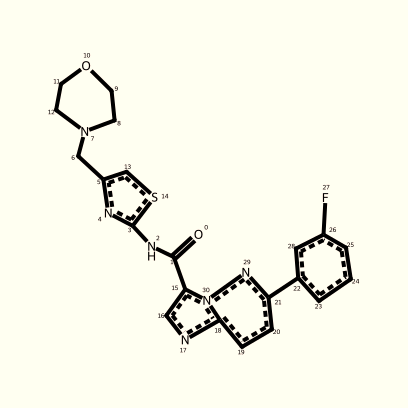 O=C(Nc1nc(CN2CCOCC2)cs1)c1cnc2ccc(-c3cccc(F)c3)nn12